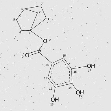 O=C(OC12CCC(CC1)C2)c1cc(O)c(O)c(O)c1